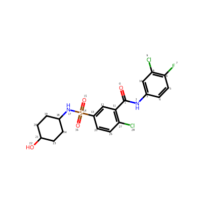 O=C(Nc1ccc(F)c(Cl)c1)c1cc(S(=O)(=O)NC2CCC(O)CC2)ccc1Cl